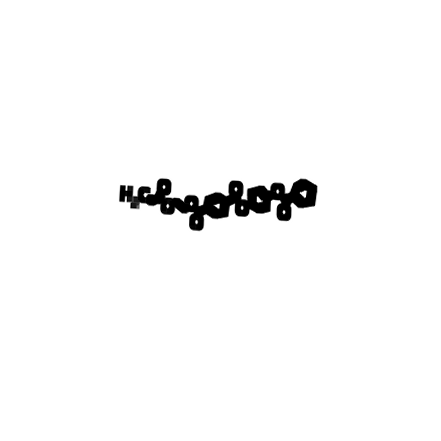 C=CC(=O)OCCOC(=O)c1ccc(C(=O)Oc2ccc(OC(=O)c3ccccc3)cc2)cc1